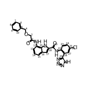 O=C(COCc1ccccc1)Nc1cccc2cc(C(=O)Nc3ccc(Cl)cc3-c3nnn[nH]3)[nH]c12